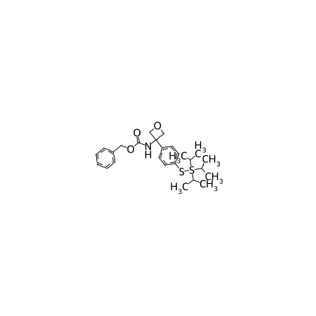 CC(C)S(Sc1ccc(C2(NC(=O)OCc3ccccc3)COC2)cc1)(C(C)C)C(C)C